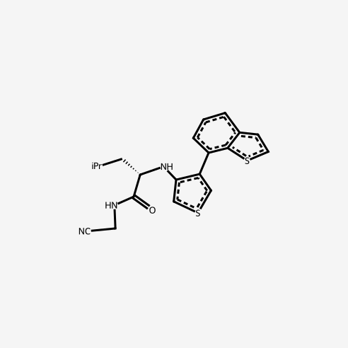 CC(C)C[C@H](Nc1cscc1-c1cccc2ccsc12)C(=O)NCC#N